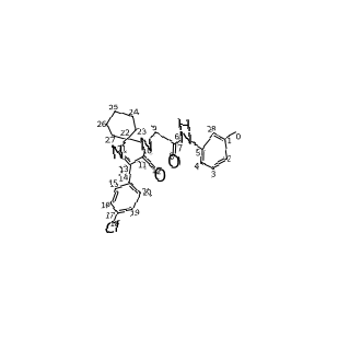 Cc1cccc(NC(=O)CN2C(=O)C(c3ccc(Cl)cc3)=NC23CCCCC3)c1